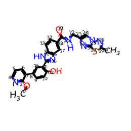 COc1ncccc1-c1ccc(O)c(-c2nc3cc(C(=O)NCc4cn5nc(C)sc5n4)ccc3[nH]2)c1